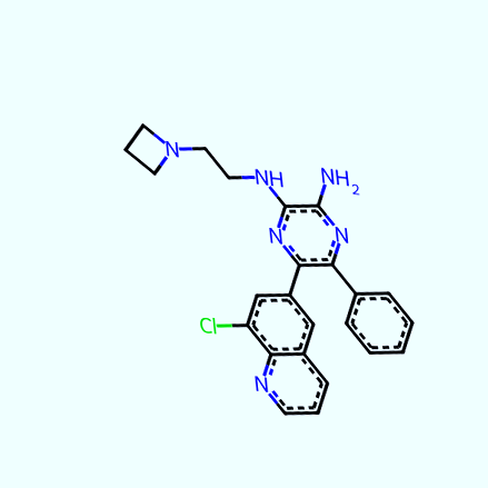 Nc1nc(-c2ccccc2)c(-c2cc(Cl)c3ncccc3c2)nc1NCCN1CCC1